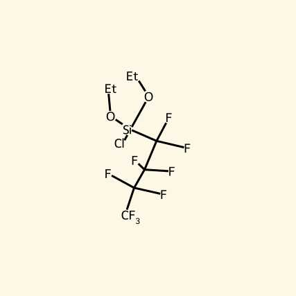 CCO[Si](Cl)(OCC)C(F)(F)C(F)(F)C(F)(F)C(F)(F)F